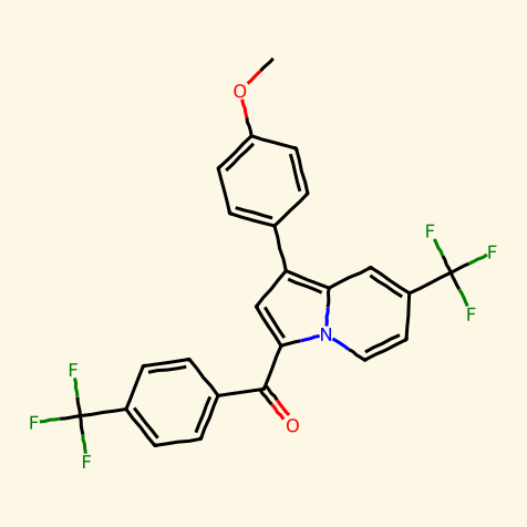 COc1ccc(-c2cc(C(=O)c3ccc(C(F)(F)F)cc3)n3ccc(C(F)(F)F)cc23)cc1